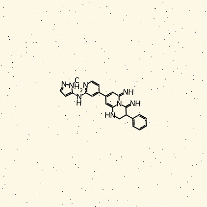 Cn1nccc1Nc1cc(-c2cc3n(c(=N)c2)C(=N)C(c2ccccc2)CN3)ccn1